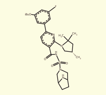 CC(C)COc1cc(F)cc(-c2ccc(C(=O)NS(=O)(=O)N3CC4CCC(C3)N4)c(N3C[C@@H](C)CC3(C)C)n2)c1